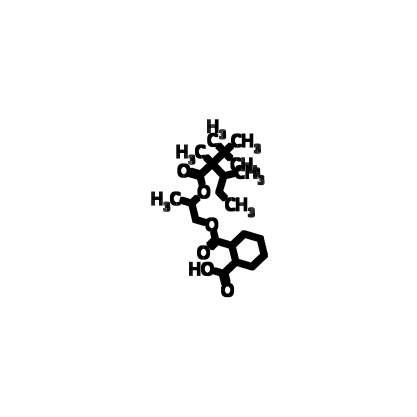 CCC(C)C(C)(C(=O)OC(C)COC(=O)C1CCCCC1C(=O)O)C(C)(C)C